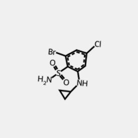 NS(=O)(=O)c1c(Br)cc(Cl)cc1NC1CC1